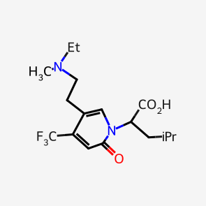 CCN(C)CCc1cn(C(CC(C)C)C(=O)O)c(=O)cc1C(F)(F)F